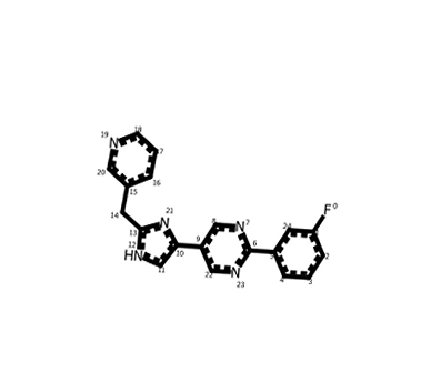 Fc1cccc(-c2ncc(-c3c[nH]c(Cc4cccnc4)n3)cn2)c1